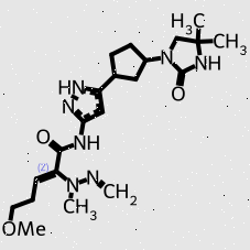 C=NN(C)/C(=C\CCOC)C(=O)Nc1cc(C2CCC(N3CC(C)(C)NC3=O)C2)[nH]n1